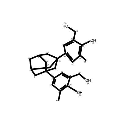 Cc1cc(C23CC4CC(C2)CC(c2cc(C)c(O)c(CO)c2)(C4)C3)cc(CO)c1O